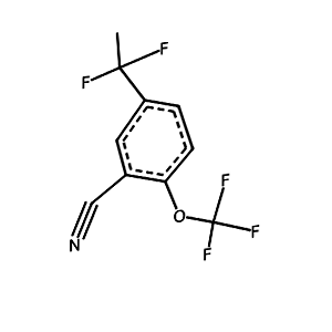 CC(F)(F)c1ccc(OC(F)(F)F)c(C#N)c1